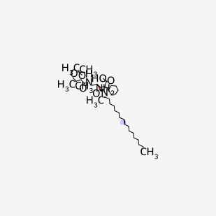 CCCCCCCC/C=C/CCCCCCC(C)N(C(N)=O)C1(C(CCCNC(=O)C2OC(C)(C)OCC2(C)C)C(=O)O)CCCCC1